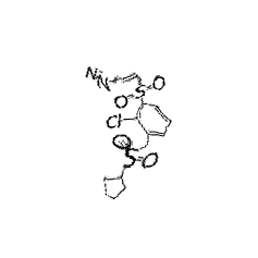 [N-]=[N+]=CS(=O)(=O)c1cccc(S(=O)(=O)C2CCCC2)c1Cl